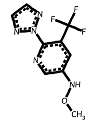 CONc1cnc(-n2nccn2)c(C(F)(F)F)c1